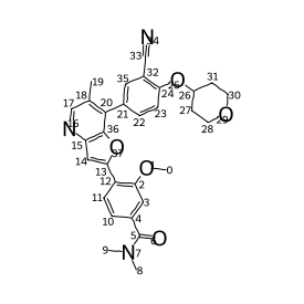 COc1cc(C(=O)N(C)C)ccc1-c1cc2ncc(C)c(-c3ccc(OC4CCOCC4)c(C#N)c3)c2o1